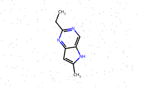 CCc1ncc2[nH]c(C)cc2n1